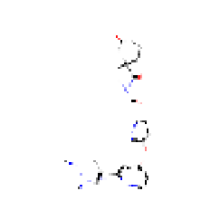 C=NN(C)/C=C(\C)c1cc(Oc2ccc(NC(=O)N3CCC4(CCCC(=O)C4)C3=O)nc2)ccn1